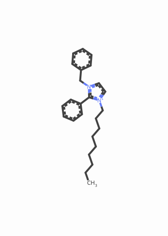 CCCCCCCCC[n+]1ccn(Cc2ccccc2)c1-c1ccccc1